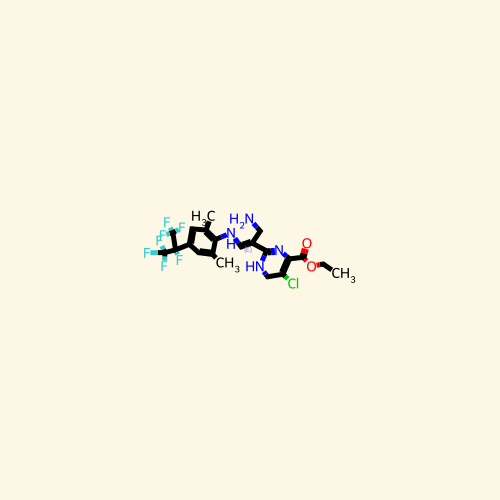 CCOC(=O)C1=C(Cl)CNC(/C(=C/Nc2c(C)cc(C(F)(C(F)(F)F)C(F)(F)F)cc2C)CN)=N1